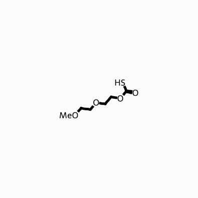 COCCOCCOC(=O)S